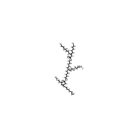 CCCCCCCCC(CCCCCC)CC(=O)OCCCCCN(CCCCCOC(=O)CC(CCCCCC)CCCCCCCC)CCOCCN